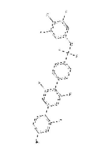 CCCc1ccc(-c2cc(F)c(-c3ccc(C(F)(F)Oc4cc(F)c(F)c(F)c4)cc3)c(F)c2)c(F)c1